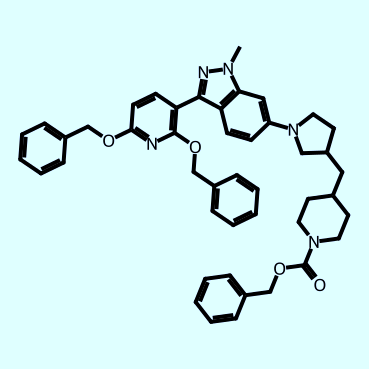 Cn1nc(-c2ccc(OCc3ccccc3)nc2OCc2ccccc2)c2ccc(N3CCC(CC4CCN(C(=O)OCc5ccccc5)CC4)C3)cc21